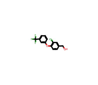 OCc1ccc(Oc2cccc(C(F)(F)F)c2)c(Cl)c1